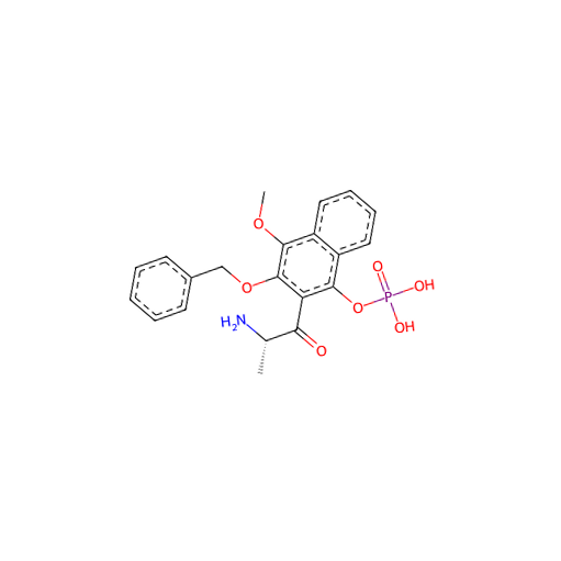 COc1c(OCc2ccccc2)c(C(=O)[C@H](C)N)c(OP(=O)(O)O)c2ccccc12